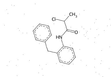 CC(Cl)C(=O)Nc1ccccc1Cc1ccccc1